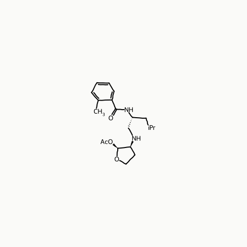 CC(=O)O[C@@H]1OCC[C@@H]1NC[C@@H](CC(C)C)NC(=O)c1ccccc1C